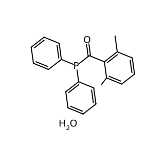 Cc1cccc(C)c1C(=O)P(c1ccccc1)c1ccccc1.O